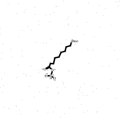 CCCCCCCCCCCCCCCCCC(=O)O[SiH](CC)CC